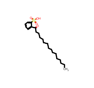 CCCCCCCCCCCCCCCC(=O)c1ccccc1S(=O)(=O)O